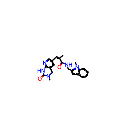 CC(=Cc1cnc2c(c1)CN(C)C(=O)N2)C(=O)NCc1cc2ccccc2n1C